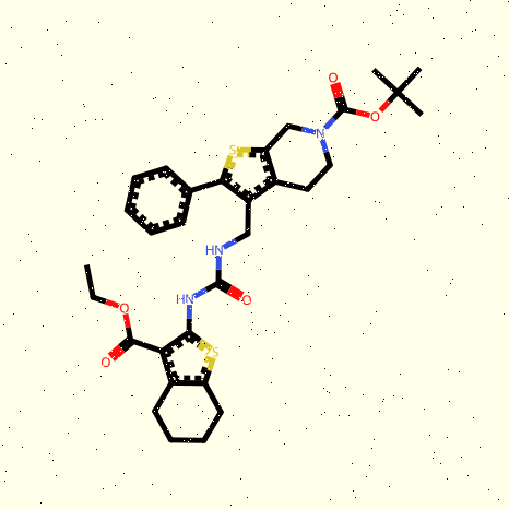 CCOC(=O)c1c(NC(=O)NCc2c(-c3ccccc3)sc3c2CCN(C(=O)OC(C)(C)C)C3)sc2c1CCCC2